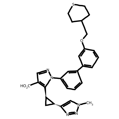 Cn1cc([C@@H]2C[C@H]2c2c(C(=O)O)cnn2-c2cccc(-c3cccc(OCC4CCSCC4)c3)c2)nn1